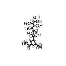 O=C(O)C(O)C(O)C(O)C(O)CO.O=C(O)c1cc(C(=O)O)cc(C(=O)O)c1.[Ni]